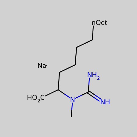 CCCCCCCCCCCCC(C(=O)O)N(C)C(=N)N.[Na]